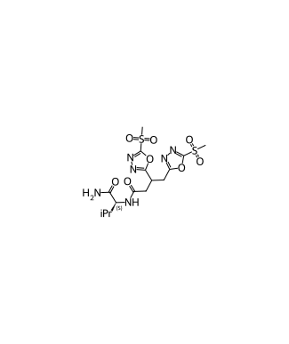 CC(C)[C@H](NC(=O)CC(Cc1nnc(S(C)(=O)=O)o1)c1nnc(S(C)(=O)=O)o1)C(N)=O